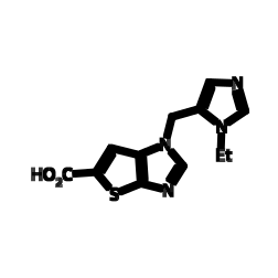 CCn1cncc1Cn1cnc2sc(C(=O)O)cc21